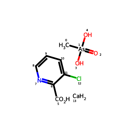 C[As](=O)(O)O.O=C(O)c1ncccc1Cl.[CaH2]